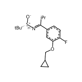 CC(C)C(=N[S@@+]([O-])C(C)(C)C)c1ccc(F)c(OCC2CC2)c1